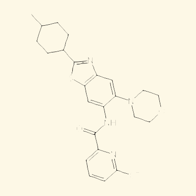 CC1CCC(c2nc3cc(N4CCOCC4)c(NC(=O)c4cccc(C(F)(F)F)n4)cc3s2)CC1